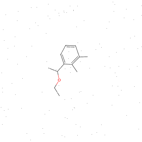 CCOC(C)c1cccc(C)c1C